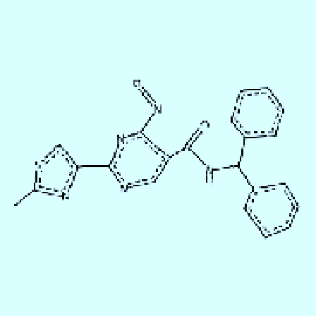 Cc1nc(-c2ncc(C(=O)NC(c3ccccc3)c3ccccc3)c(N=O)n2)cs1